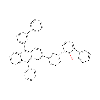 c1ccc(-c2cccc(-c3c4ccccc4c(-c4ccccc4)c4cc(-c5cccc(-c6cccc7c6oc6ccccc67)c5)ccc34)c2)cc1